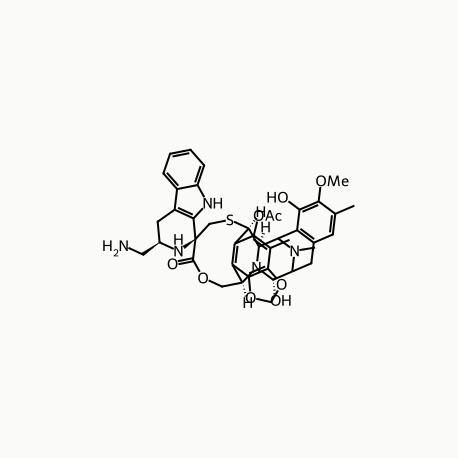 COc1c(C)cc2c(c1O)C1[C@@H]3[C@@H]4SC[C@]5(N[C@@H](CN)Cc6c5[nH]c5ccccc65)C(=O)OC[C@@H](c5c6c(c(C)c(OC(C)=O)c54)OCO6)N3[C@@H](O)C(C2)N1C